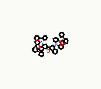 c1ccc(-c2ccccc2N(c2cc3c4cc(N(c5ccccc5-c5ccccc5)c5cccc6c5oc5c(-c7ccccc7)cccc56)c5ccccc5c4oc3c3ccccc23)c2cccc3c2oc2c(-c4ccccc4)cccc23)cc1